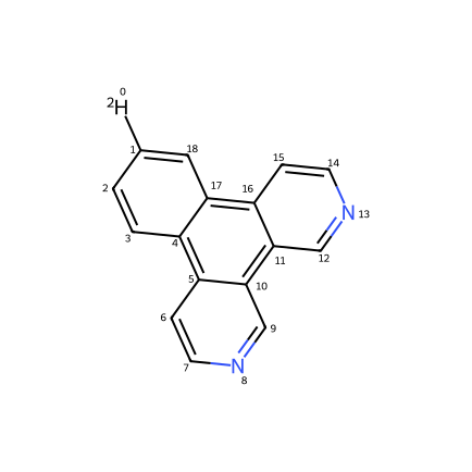 [2H]c1ccc2c3ccncc3c3cnccc3c2c1